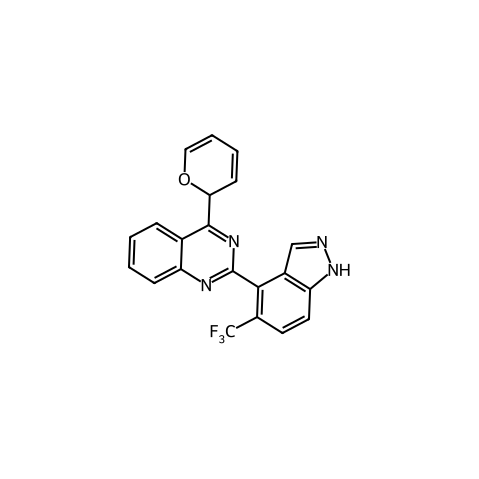 FC(F)(F)c1ccc2[nH]ncc2c1-c1nc(C2C=CC=CO2)c2ccccc2n1